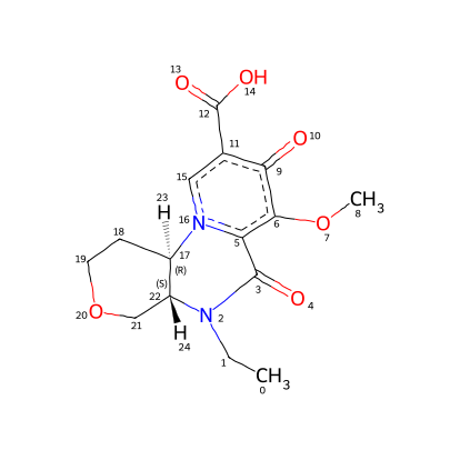 CCN1C(=O)c2c(OC)c(=O)c(C(=O)O)cn2[C@@H]2CCOC[C@H]21